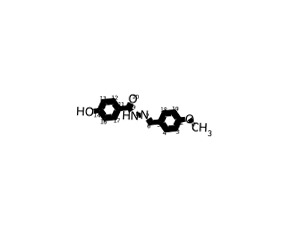 COc1ccc(/C=N/NC(=O)c2ccc(O)cc2)cc1